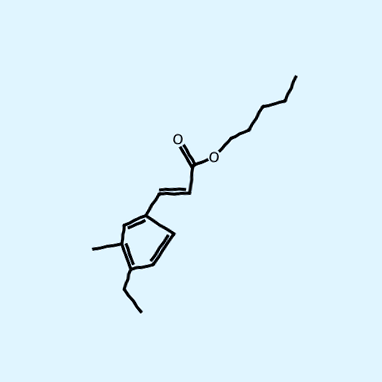 CCCCCOC(=O)C=Cc1ccc(CC)c(C)c1